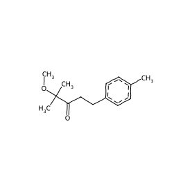 COC(C)(C)C(=O)CCc1ccc(C)cc1